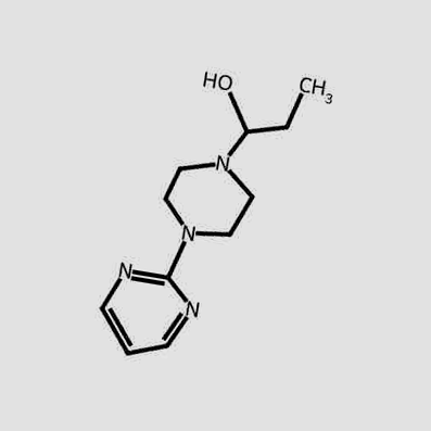 CCC(O)N1CCN(c2ncccn2)CC1